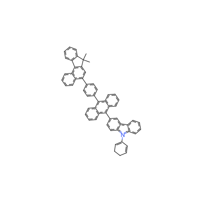 CC1(C)c2ccccc2-c2c1cc(-c1ccc(-c3c4ccccc4c(-c4ccc5c(c4)c4ccccc4n5C4=CCCC=C4)c4ccccc34)cc1)c1ccccc21